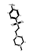 CN1CCN(CCS(=O)(=O)c2ccc(C(C)(C)C)cc2)CC1